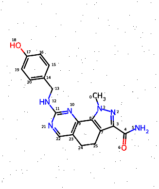 Cn1nc(C(N)=O)c2c1-c1nc(NCc3ccc(O)cc3)ncc1CC2